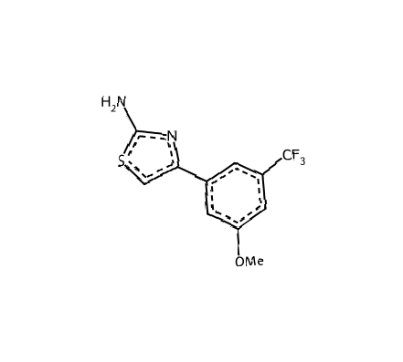 COc1cc(-c2csc(N)n2)cc(C(F)(F)F)c1